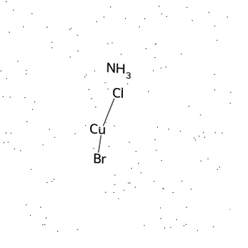 N.[Cl][Cu][Br]